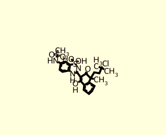 CC(C)(Cl)CCC1(C)C(=O)C(C2=NS(O)(O)c3cc(NS(C)(=O)=O)ccc3N2)=C(O)c2ccccc21